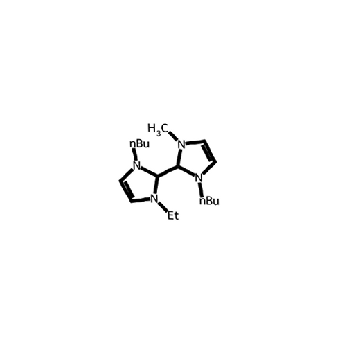 CCCCN1C=CN(C)C1C1N(CC)C=CN1CCCC